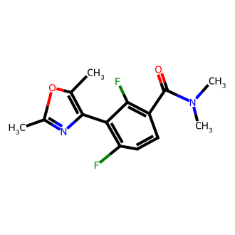 Cc1nc(-c2c(F)ccc(C(=O)N(C)C)c2F)c(C)o1